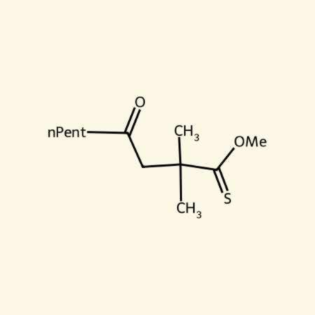 CCCCCC(=O)CC(C)(C)C(=S)OC